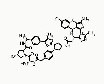 Cc1ncsc1-c1ccc([C@H](C)NC(=O)[C@@H]2C[C@@H](O)CN2C(=O)[C@@H](NC(=O)Cc2ccc(N3CC[C@H](NC(=O)C[C@@H]4N=C(c5ccc(Cl)cc5)c5c(sc(C)c5C)-n5c(C)nnc54)C3)cc2)C(C)(C)C)cc1